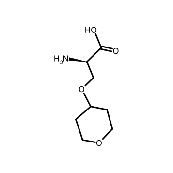 N[C@H](COC1CCOCC1)C(=O)O